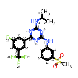 CC(C)Nc1nc(Nc2cccc(S(C)(=O)=O)c2)nc(-c2cc(F)cc(C(F)(F)F)c2)n1